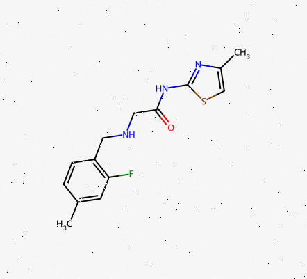 Cc1ccc(CNCC(=O)Nc2nc(C)cs2)c(F)c1